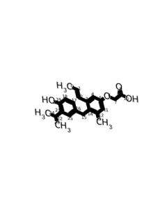 CC=Cc1cc(OCC(=O)O)cc(C)c1Cc1ccc(O)c(C(C)C)c1